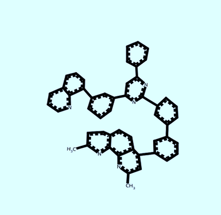 Cc1ccc2ccc3c(-c4cccc(-c5cccc(-c6nc(-c7ccccc7)cc(-c7cccc(-c8cccc9cccnc89)c7)n6)c5)c4)cc(C)nc3c2n1